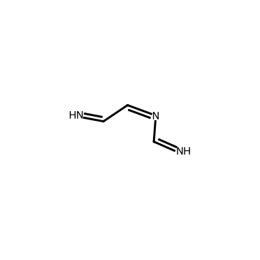 N=C/C=N\C=N